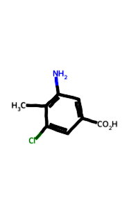 Cc1c(N)cc(C(=O)O)cc1Cl